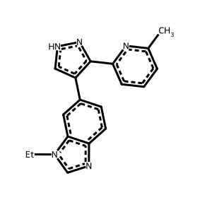 CCn1cnc2ccc(-c3c[nH]nc3-c3cccc(C)n3)cc21